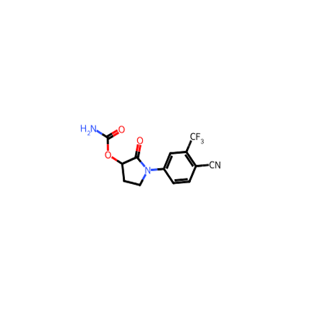 N#Cc1ccc(N2CCC(OC(N)=O)C2=O)cc1C(F)(F)F